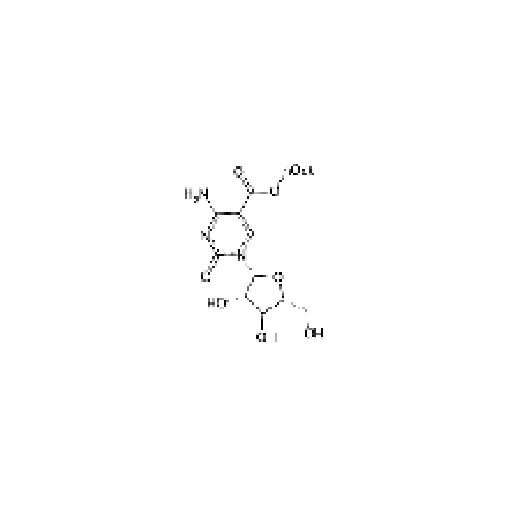 CCCCCCCCOC(=O)c1cn([C@@H]2O[C@H](CO)[C@@H](O)[C@@H]2O)c(=O)nc1N